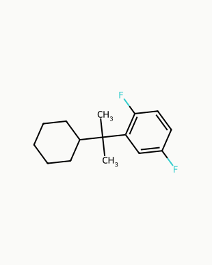 CC(C)(c1cc(F)ccc1F)C1CCCCC1